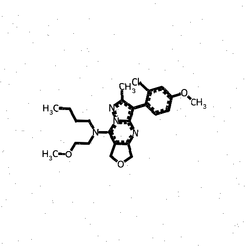 CCCCN(CCOC)c1c2c(nc3c(-c4ccc(OC)cc4Cl)c(C)nn13)COC2